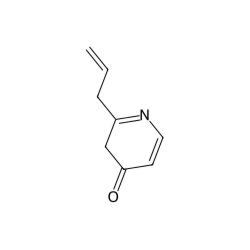 C=CCC1=NC=CC(=O)C1